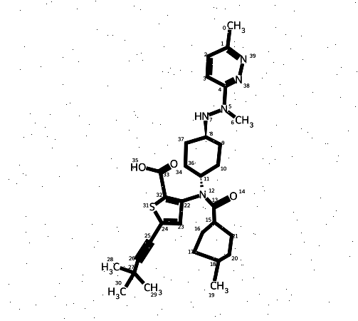 Cc1ccc(N(C)N[C@H]2CC[C@H](N(C(=O)C3CCC(C)CC3)c3cc(C#CC(C)(C)C)sc3C(=O)O)CC2)nn1